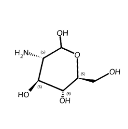 N[C@@H]1C(O)O[C@@H](CO)[C@H](O)[C@H]1O